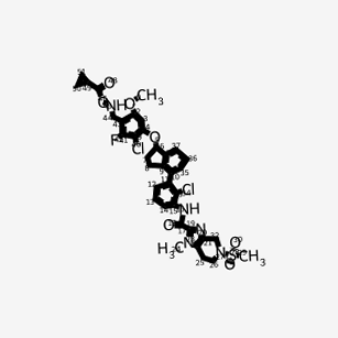 COc1cc(OC2CCc3c(-c4cccc(NC(=O)c5nc6c(n5C)CCN(S(C)(=O)=O)C6)c4Cl)cccc32)c(Cl)c(F)c1CNOC(=O)C1CC1